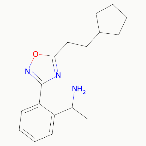 CC(N)c1ccccc1-c1noc(CCC2CCCC2)n1